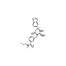 CCCN(C)C(=O)c1cccc(CN2C(=N)NC(C)(c3ccc4sccc4c3)CC2=O)c1